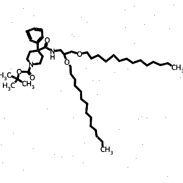 CCCCCCCCCCCCCCOCC(CNC(=O)C1(c2ccccc2)CCN(C(=O)OC(C)(C)C)CC1)OCCCCCCCCCCCCCC